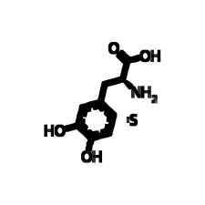 N[C@@H](Cc1ccc(O)c(O)c1)C(=O)O.[S]